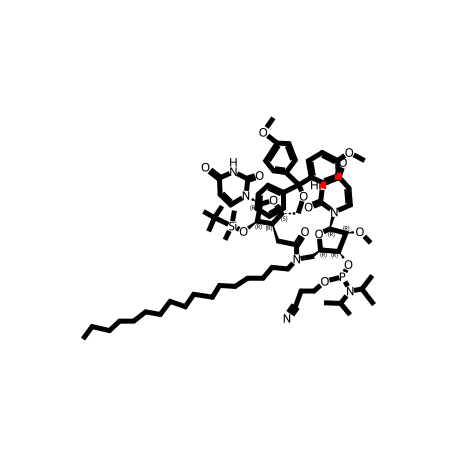 CCCCCCCCCCCCCCCCCN(C[C@H]1O[C@@H](n2ccc(=O)[nH]c2=O)[C@H](OC)[C@@H]1OP(OCCC#N)N(C(C)C)C(C)C)C(=O)C[C@H]1[C@@H](O[Si](C)(C)C(C)(C)C)[C@H](n2ccc(=O)[nH]c2=O)O[C@@H]1COC(c1ccccc1)(c1ccc(OC)cc1)c1ccc(OC)cc1